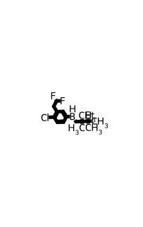 CCC(C)(C)C(C)(C)CBc1ccc(Cl)c(CC(F)F)c1